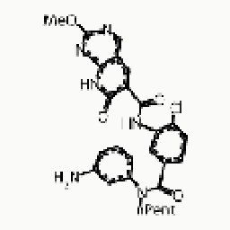 CCCCCN(C(=O)c1ccc(Cl)c(NC(=O)c2cc3cnc(OC)nc3[nH]c2=O)c1)c1cccc(N)c1